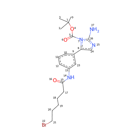 CC(C)(C)OC(=O)n1c(-c2cccc(NC(=O)CCCCCBr)c2)cnc1N